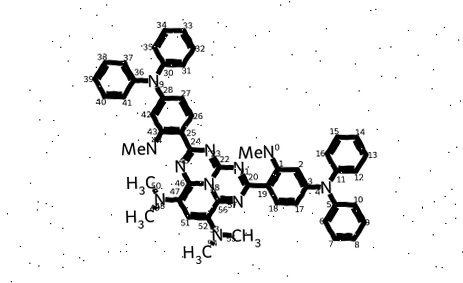 CNc1cc(N(c2ccccc2)c2ccccc2)ccc1C1=NC2=NC(c3ccc(N(c4ccccc4)c4ccccc4)cc3NC)=NC3=C(N(C)C)C=C(N(C)C)C(=N1)N23